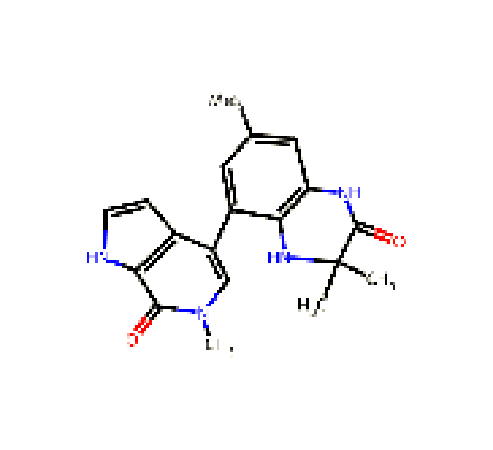 CSc1cc2c(c(-c3cn(C)c(=O)c4[nH]ccc34)c1)NC(C)(C)C(=O)N2